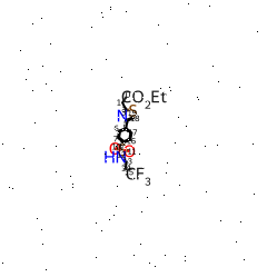 CCOC(=O)Cc1nc(-c2ccc(S(=O)(=O)NCCC(F)(F)F)cc2)cs1